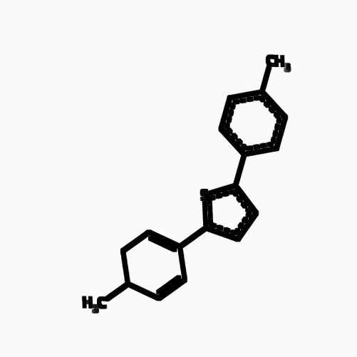 Cc1ccc(-c2ccc(C3=CCC(C)C=C3)s2)cc1